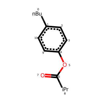 [CH2]CCCc1ccc(OC(=O)C(C)C)cc1